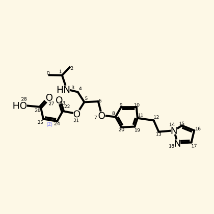 CC(C)NCC(COc1ccc(CCn2cccn2)cc1)OC(=O)/C=C\C(=O)O